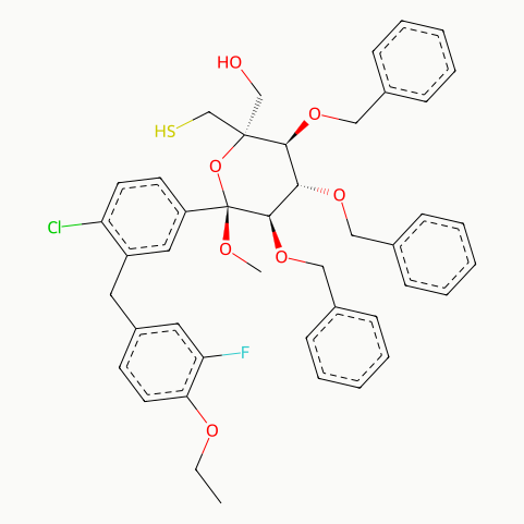 CCOc1ccc(Cc2cc([C@]3(OC)O[C@@](CO)(CS)[C@@H](OCc4ccccc4)[C@H](OCc4ccccc4)[C@H]3OCc3ccccc3)ccc2Cl)cc1F